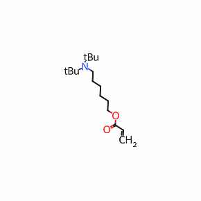 C=CC(=O)OCCCCCCN(C(C)(C)C)C(C)(C)C